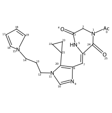 CC(=O)N1CC(=O)NC(=Cc2ncn(CCCn3cccc3)c2C2CC2)C1=O